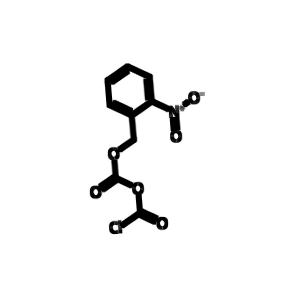 O=C(Cl)OC(=O)OCc1ccccc1[N+](=O)[O-]